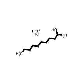 CCCCCCCCCC(O)O.Cl.Cl